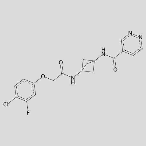 O=C(COc1ccc(Cl)c(F)c1)NC12CC(NC(=O)c3ccnnc3)(C1)C2